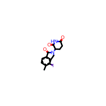 Cc1ccc2c(c1I)CN(C1CCC(=O)NC1=O)C2=O